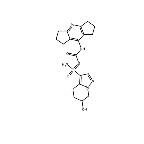 NS(=O)(=NC(=O)Nc1c2c(nc3c1CCC3)CCC2)c1cnn2c1OCC(O)C2